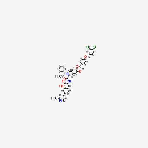 CC[C@@H](c1ccccc1)N1Cc2cc3c(cc2C[C@H]1C(=O)N[C@@H](Cc1ccc(-c2ccnc(C)c2)cc1)C(=O)O)OC[C@H](c1ccc(OCc2ccc(Cl)c(Cl)c2)cc1)O3